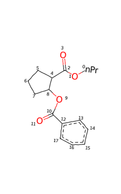 CCCOC(=O)C1CCCC1OC(=O)c1ccccc1